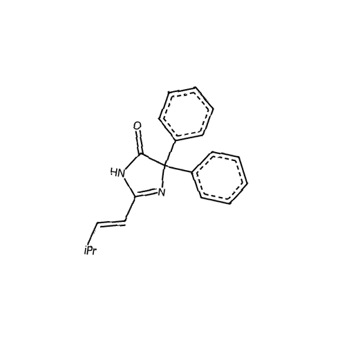 CC(C)C=CC1=NC(c2ccccc2)(c2ccccc2)C(=O)N1